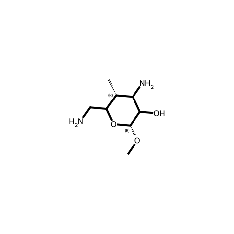 CO[C@@H]1OC(CN)[C@H](C)C(N)C1O